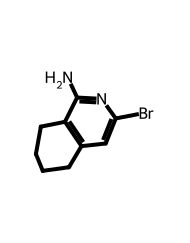 Nc1nc(Br)cc2c1CCCC2